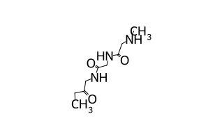 CCC(=O)CNC(=O)CNC(=O)CNC